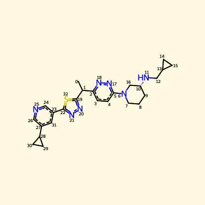 CC(c1ccc(N2CCC[C@@H](NCC3CC3)C2)nn1)c1nnc(-c2cncc(C3CC3)c2)s1